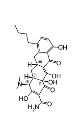 CCCCc1ccc(O)c2c1C[C@H]1C[C@H]3[C@H](N(C)C)C(O)=C(C(N)=O)C(=O)[C@@]3(O)C(O)=C1C2=O